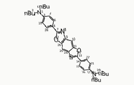 CCCCN(CCCC)c1ccc(-c2nc3cc4oc(-c5ccc(N(CCCC)CCCC)cc5)nc4cc3o2)cc1